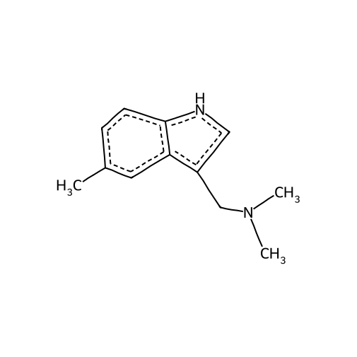 Cc1ccc2[nH]cc(CN(C)C)c2c1